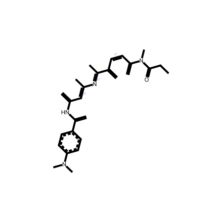 C=C(/C=C(C)/N=C(\C)C(=C)/C=C\C(=C)N(C)C(=O)CC)NC(=C)c1ccc(N(C)C)cc1